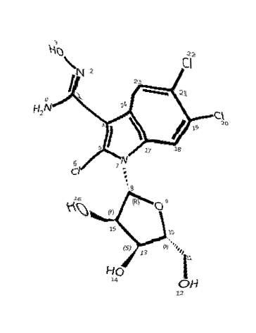 NC(=NO)c1c(Cl)n([C@@H]2O[C@H](CO)[C@@H](O)[C@H]2O)c2cc(Cl)c(Cl)cc12